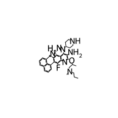 CCCN(C)CC(C)Oc1nc2c(F)c(-c3cccc4cccc(C#N)c34)c(C)cc2c(N(N)C2CCNCC2)c1N